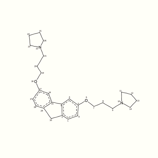 c1cc2c(cc1OCCCN1CCCC1)-c1cc(OCCCN3CCCC3)ccc1C2